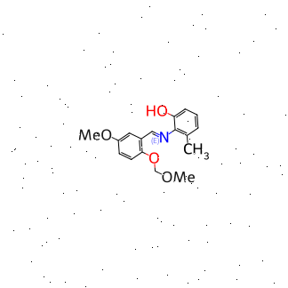 COCOc1ccc(OC)cc1/C=N/c1c(C)cccc1O